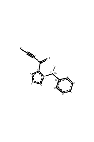 CC#CC(=O)c1cncn1[C@H](C)c1ccccc1